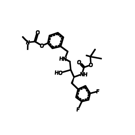 CN(C)C(=O)Oc1cccc(CNCC(O)[C@H](Cc2cc(F)cc(F)c2)NC(=O)OC(C)(C)C)c1